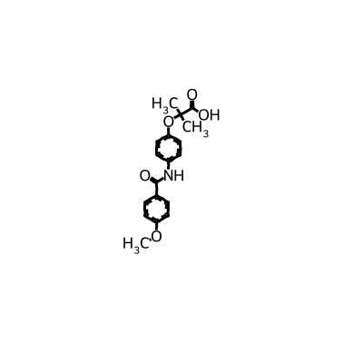 COc1ccc(C(=O)Nc2ccc(OC(C)(C)C(=O)O)cc2)cc1